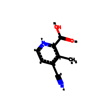 Cc1c(C#N)ccnc1C(=O)O